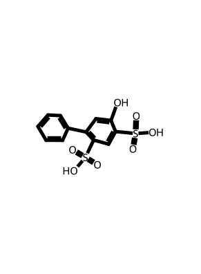 O=S(=O)(O)c1cc(S(=O)(=O)O)c(-c2ccccc2)cc1O